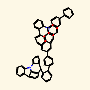 c1ccc(-c2ccc(N(c3ccc4cc(-c5ccc6c(c5)[C@@]5(c7ccccc7-6)c6ccccc6-n6c7ccccc7c7cccc5c76)ccc4c3)c3ccccc3-c3ccccc3-c3ccccc3)cc2)cc1